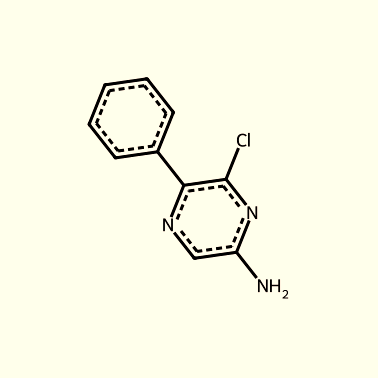 Nc1cnc(-c2ccccc2)c(Cl)n1